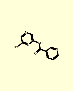 CC(C)c1cncc(NC(=O)c2cccnc2)n1